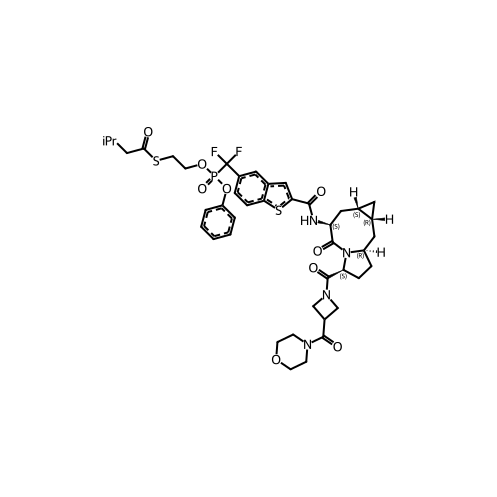 CC(C)CC(=O)SCCOP(=O)(Oc1ccccc1)C(F)(F)c1ccc2sc(C(=O)N[C@H]3C[C@@H]4C[C@@H]4C[C@H]4CC[C@@H](C(=O)N5CC(C(=O)N6CCOCC6)C5)N4C3=O)cc2c1